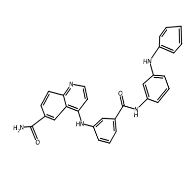 NC(=O)c1ccc2nccc(Nc3cccc(C(=O)Nc4cccc(Nc5ccccc5)c4)c3)c2c1